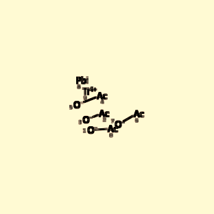 CC(=O)[O-].CC(=O)[O-].CC(=O)[O-].CC(=O)[O-].[Pb].[Ti+4]